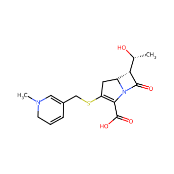 C[C@@H](O)[C@@H]1C(=O)N2C(C(=O)O)=C(SCC3=CN(C)CC=C3)CC12